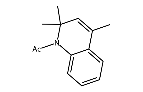 CC(=O)N1c2ccccc2C(C)=CC1(C)C